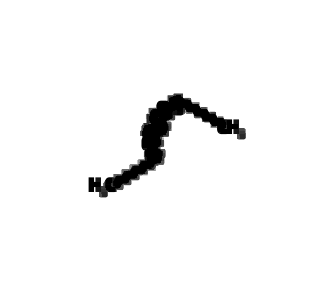 CCCCCCCCCCc1ccc(-c2cc3c(ccc4c3ccc3c5cc(-c6ccc(CCCCCCCCCC)s6)oc5ccc34)o2)s1